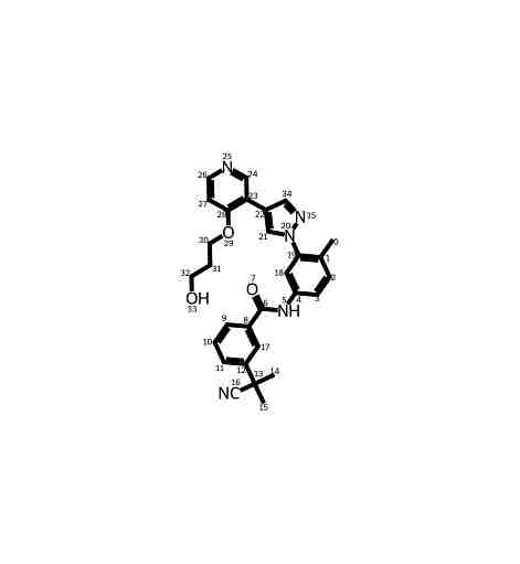 Cc1ccc(NC(=O)c2cccc(C(C)(C)C#N)c2)cc1-n1cc(-c2cnccc2OCCCO)cn1